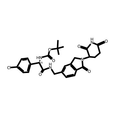 CC(C)(C)OC(=O)N[C@H](C(=O)NCc1ccc2c(c1)CN(C1CCC(=O)NC1=O)C2=O)c1ccc(Cl)cc1